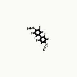 [N-]=[N+]=Nc1c(F)c(F)c(-c2c(F)c(F)c(N=[N+]=[N-])c(F)c2F)c(F)c1F